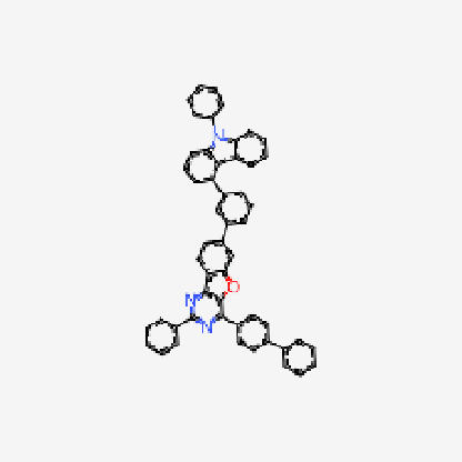 c1ccc(-c2ccc(-c3nc(-c4ccccc4)nc4c3oc3cc(-c5cccc(-c6cccc7c6c6ccccc6n7-c6ccccc6)c5)ccc34)cc2)cc1